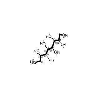 OC[C@@H](O)[C@H](O)[C@@H](O)[C@H](O)[C@H](O)[C@@H](O)CO